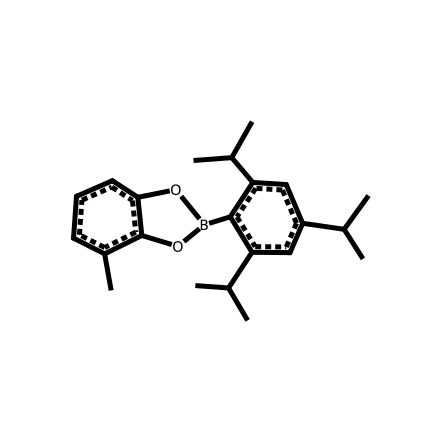 Cc1cccc2c1OB(c1c(C(C)C)cc(C(C)C)cc1C(C)C)O2